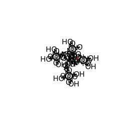 CC(C)N(CC(=O)NCC(CNC(=O)CN(C(=O)CN1CCN(CC(=O)O)CCN(CC(=O)O)CCN(CC(=O)O)CC1)C(C)C)(CNC(=O)CN(C(=O)CN1CCN(CC(=O)O)CCN(CC(=O)O)CCN(CC(=O)O)CC1)C(C)C)CNC(=O)CN(C(=O)CN1CCN(CC(=O)O)CCN(CC(=O)O)CCN(CC(=O)O)CC1)C(C)C)C(=O)CN1CCN(CC=O)CCN(CC(=O)O)CCN(CC(=O)O)CC1